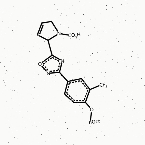 CCCCCCCCOc1ccc(-c2noc(C3C=CCN3C(=O)O)n2)cc1C(F)(F)F